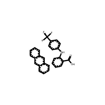 O=C(O)c1ccccc1Nc1ccc(C(F)(F)F)cc1.c1ccc2cc3ccccc3cc2c1